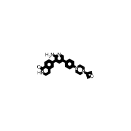 Nc1ncc(-c2ccc(N3CCN(C4COC4)CC3)cc2)cc1-c1ccc2c(c1)CCNC2=O